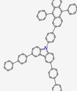 c1ccc(-c2ccc(-c3ccc4c(c3)c3cc(-c5ccc(-c6ccccc6)cc5)ccc3n4-c3ccc(-c4ccc5c(-c6ccccc6)c6ccccc6c(-c6ccccc6)c5c4)cc3)cc2)cc1